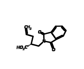 C=CC[C@H](CN1C(=O)c2ccccc2C1=O)C(=O)O